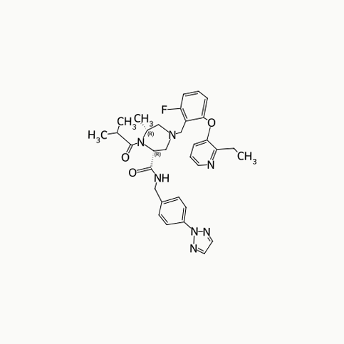 CCc1ncccc1Oc1cccc(F)c1CN1C[C@@H](C)N(C(=O)C(C)C)[C@@H](C(=O)NCc2ccc(-n3nccn3)cc2)C1